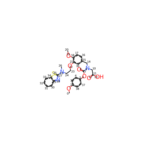 COc1ccc(OC(=O)N(CC(=O)O)Cc2ccc(OC)c(OCCN(C)c3nc4ccccc4s3)c2)cc1